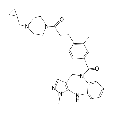 Cc1cc(C(=O)N2Cc3cnn(C)c3Nc3ccccc32)ccc1CCC(=O)N1CCN(CC2CC2)CC1